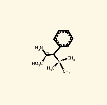 C[N+](C)(C)C(c1ccccc1)[C@H](N)C(=O)O